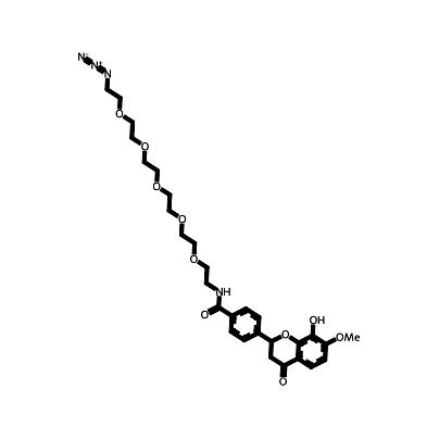 COc1ccc2c(c1O)OC(c1ccc(C(=O)NCCOCCOCCOCCOCCOCCN=[N+]=[N-])cc1)CC2=O